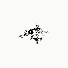 COC(=O)[C@@H](N)Cc1ccc(OC(=O)C(C)(C)C)cc1.O=C(O)C(F)(F)F